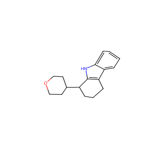 c1ccc2c3c([nH]c2c1)C(C1CCOCC1)CCC3